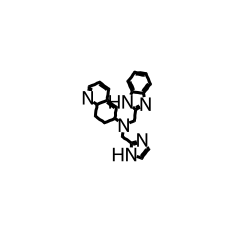 C1=CC2=CC(N(Cc3ncc[nH]3)Cc3nc4ccccc4[nH]3)CCC2N=C1